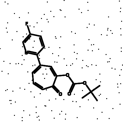 CC(C)(C)OC(=O)Oc1cc(-c2ccc(F)cn2)cccc1=O